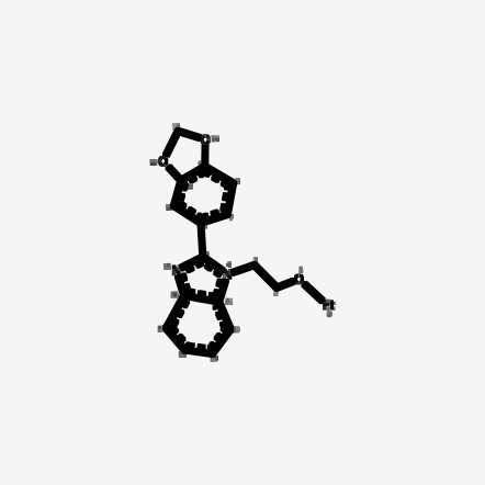 CCOCCn1c(-c2ccc3c(c2)OCO3)nc2ccccc21